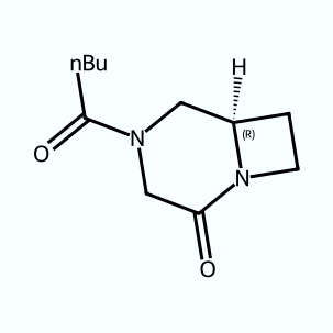 CCCCC(=O)N1CC(=O)N2CC[C@@H]2C1